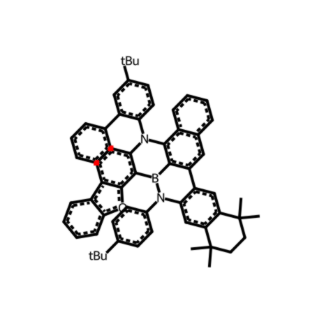 CC(C)(C)c1ccc(N2B3c4c(cc5ccccc5c4N(c4ccc(C(C)(C)C)cc4-c4ccccc4)c4ccc5c(oc6ccccc65)c43)-c3cc4c(cc32)C(C)(C)CCC4(C)C)cc1